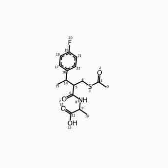 CC(=O)SCC(C(=O)NC(C)C(=O)O)C(C)c1ccc(F)cc1